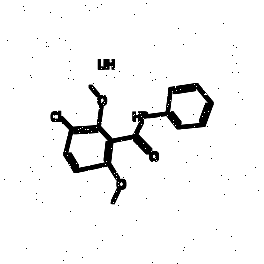 COc1ccc(Cl)c(OC)c1C(=O)Pc1ccccc1.[LiH]